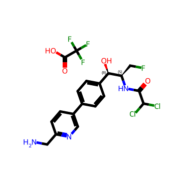 NCc1ccc(-c2ccc([C@@H](O)[C@@H](CF)NC(=O)C(Cl)Cl)cc2)cn1.O=C(O)C(F)(F)F